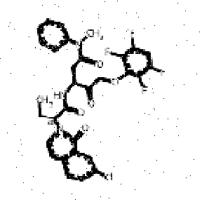 CC[C@@H](C(=O)NC(CC(=O)N(C)c1ccccc1)C(=O)COc1c(F)c(F)cc(F)c1F)n1ccc2ccc(Cl)cc2c1=O